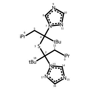 CC(C)CC(SC(CC(C)C)(n1cncn1)C(C)(C)C)(n1cncn1)C(C)(C)C